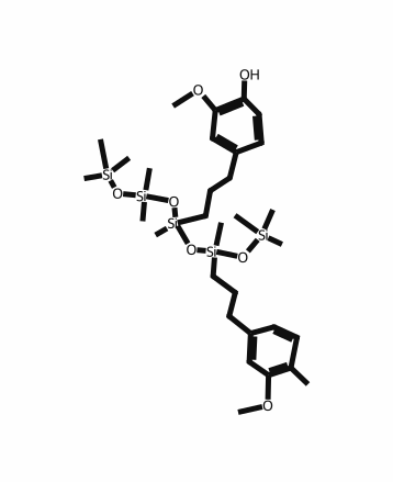 COc1cc(CCC[Si](C)(O[Si](C)(C)C)O[Si](C)(CCCc2ccc(O)c(OC)c2)O[Si](C)(C)O[Si](C)(C)C)ccc1C